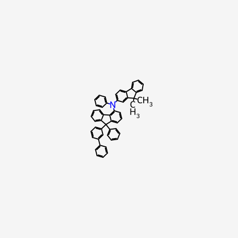 CC1(C)c2ccccc2-c2ccc(N(c3ccccc3)c3cccc4c3-c3ccccc3C4(c3ccccc3)c3cccc(-c4ccccc4)c3)cc21